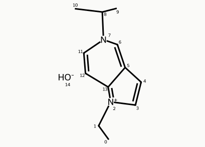 CC[n+]1ccc2cn(C(C)C)ccc1-2.[OH-]